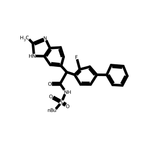 CCCCS(=O)(=O)NC(=O)C(c1ccc2nc(C)[nH]c2c1)c1ccc(-c2ccccc2)cc1F